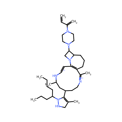 C=CC(=C)N1CCN(C2CN3C4=C(CCCC23)C(/C)=N\CCC(C2=C(C)CNN2C(CCC)CCCC)CC(C)N/C=C/4)CC1